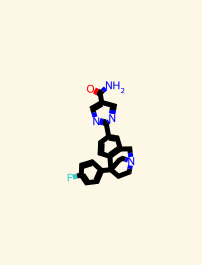 NC(=O)c1cnc(-c2ccc3c(c2)CN2CCC3(c3ccc(F)cc3)CC2)nc1